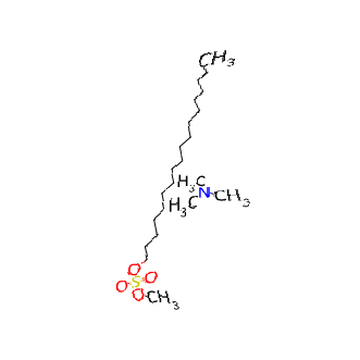 CCCCCCCCCCCCCCCCCCOS(=O)(=O)OC.CN(C)C